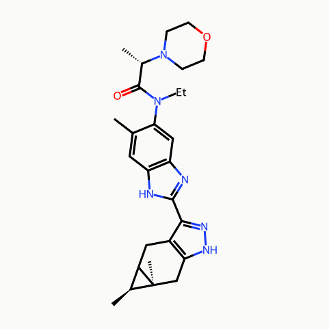 CCN(C(=O)[C@H](C)N1CCOCC1)c1cc2nc(-c3n[nH]c4c3CC3[C@H](C)[C@]3(C)C4)[nH]c2cc1C